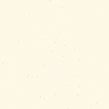 CCC(C)CCCC(C)C/C=C/C(C)=O